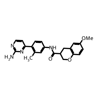 COc1ccc2c(c1)CC(C(=O)Nc1ccc(-c3ccnc(N)n3)c(C)c1)CO2